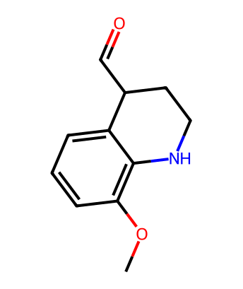 COc1cccc2c1NCCC2C=O